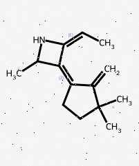 C=C1/C(=C2\C(=C/C)NC2C)CCC1(C)C